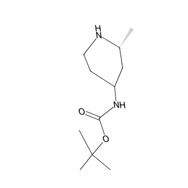 C[C@@H]1CC(NC(=O)OC(C)(C)C)CCN1